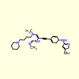 C/N=C\N/C(C#CC1=CCC(NC2=NCC(C(C)(C)C)=C2)C=C1)=C\N(C)CCCCN1CCCCC1